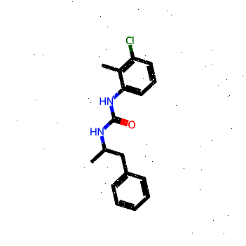 Cc1c(Cl)cccc1NC(=O)NC(C)Cc1ccccc1